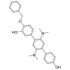 CN(C)c1cc(-c2ccc(OCc3ccccc3)c(O)c2)c(N(C)C)cc1-c1ccc(O)cc1